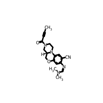 CC#CC(=O)N1CCN2c3cc(C#N)c(/N=C\N(C)C)cc3OC[C@@H]2C1